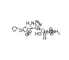 CS(=O)(=O)c1cc(OCc2ccccc2)ccc1C#Cc1cn([C@@H]2C[C@H](CNS(N)(=O)=O)[C@@H](O)[C@H]2O)c2ncnc(N)c12